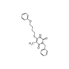 Cc1c(SCCCCOc2ccccc2)[nH]c(=O)n(Cc2ccccc2)c1=O